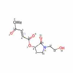 COC(=O)/C=C/C(=O)OC1CCN(CCO)C1=O